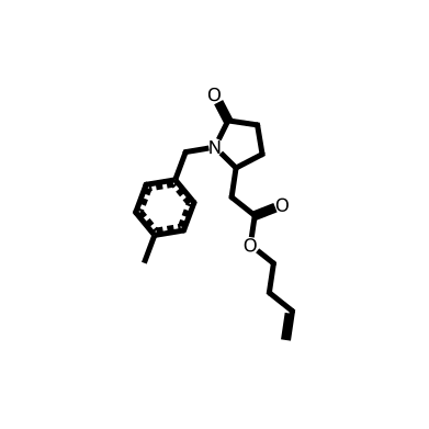 C=CCCOC(=O)CC1CCC(=O)N1Cc1ccc(C)cc1